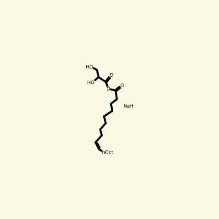 CCCCCCCC/C=C\CCCCCCCC(=O)OC(=O)C(O)CO.[NaH]